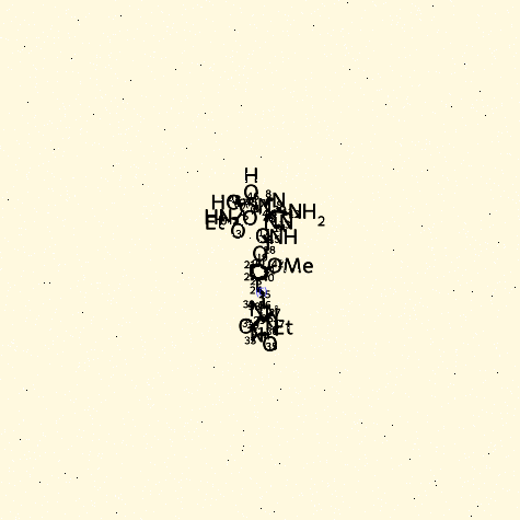 CCNC(=O)C1O[C@@H](n2cnc3c(N)nc(NC(=O)COc4ccc(/C=C/c5nc6c(c(=O)n(C)c(=O)n6CC)n5C)cc4OC)nc32)[C@H](O)[C@@H]1O